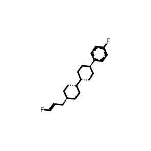 FC=CC[C@H]1CC[C@H]([C@H]2CC[C@H](c3ccc(F)cc3)CC2)CC1